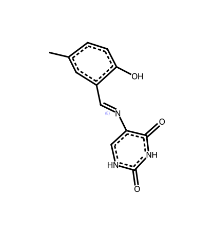 Cc1ccc(O)c(/C=N/c2c[nH]c(=O)[nH]c2=O)c1